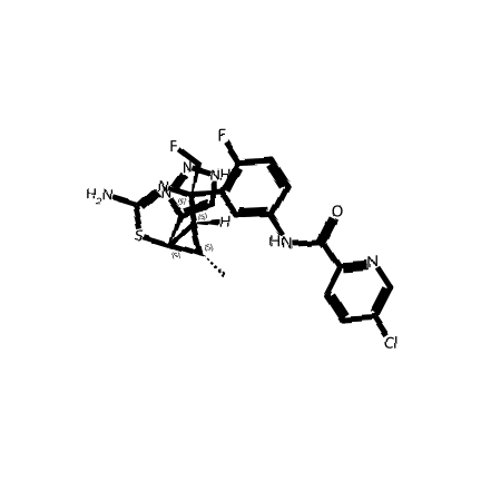 C[C@H]1[C@@H]2[C@@]1(c1c[nH]nn1)SC(N)=N[C@]2(CF)c1cc(NC(=O)c2ccc(Cl)cn2)ccc1F